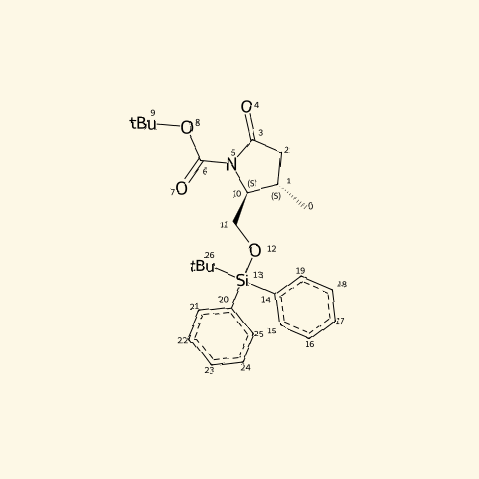 C[C@H]1CC(=O)N(C(=O)OC(C)(C)C)[C@@H]1CO[Si](c1ccccc1)(c1ccccc1)C(C)(C)C